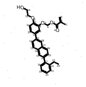 C=C(C)C(=O)OCOc1cc(-c2ccc3cc(-c4ccccc4CC)ccc3c2)ccc1OCCO